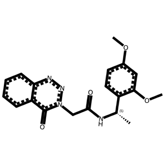 COc1ccc([C@H](C)NC(=O)Cn2nnc3ccccc3c2=O)c(OC)c1